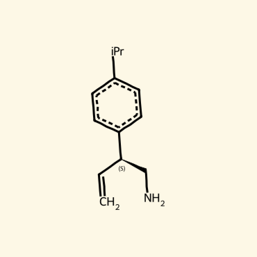 C=C[C@H](CN)c1ccc(C(C)C)cc1